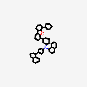 C1=CC2C=CC=C(N(c3ccc(-c4cccc5ccccc45)cc3)c3cccc(-c4cccc5c4oc4c(-c6ccccc6)cccc45)c3)C2C=C1